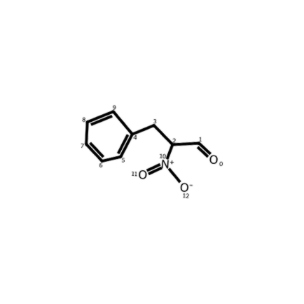 O=CC(Cc1ccccc1)[N+](=O)[O-]